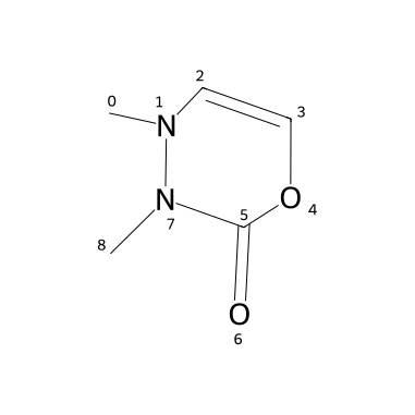 CN1C=COC(=O)N1C